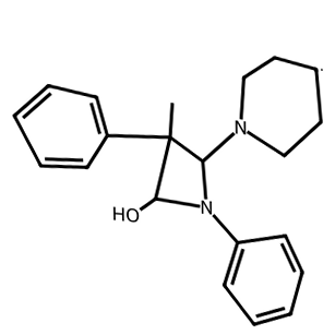 CC1(c2ccccc2)C(O)N(c2ccccc2)C1N1CC[CH]CC1